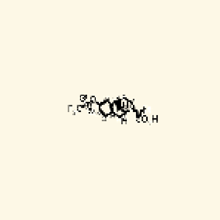 CCN(C(=O)O)N1CC[C@]23CCCC[C@H]2[C@H]1Cc1ccc(OS(=O)(=O)C(F)(F)F)cc13